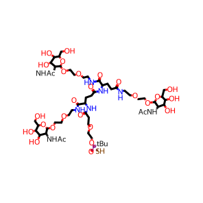 CC(=O)NC1C(OCCOCCNC(=O)CCC(NC(=O)CCC(NC(=O)CCOCCOP(=O)(S)C(C)(C)C)C(=O)NCCOCCOC2OC(CO)C(O)C(O)C2NC(C)=O)C(=O)NCCOCCOC2OC(CO)C(O)C(O)C2NC(C)=O)OC(CO)C(O)C1O